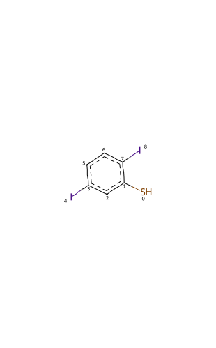 Sc1cc(I)ccc1I